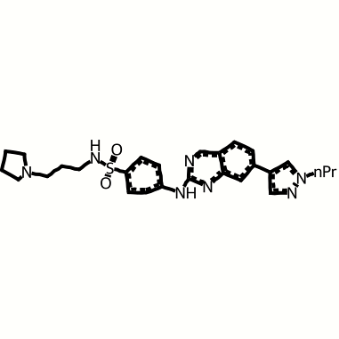 CCCn1cc(-c2ccc3cnc(Nc4ccc(S(=O)(=O)NCCCN5CCCC5)cc4)nc3c2)cn1